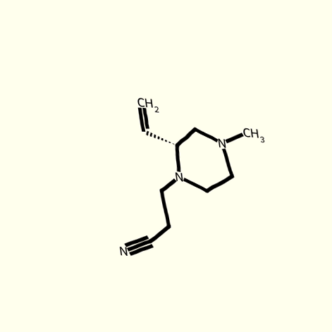 C=C[C@@H]1CN(C)CCN1CCC#N